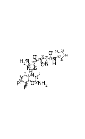 C[C@@H](C(N)=O)N(c1ccc(F)c(F)c1)c1nc(N)c(C(=O)c2cc(C(=O)NC3CCCC3)no2)s1